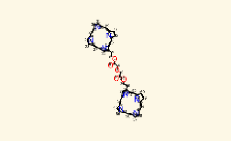 O=C(COCC(=O)OCCC1=CC2=NC1=CC1=NC(=CC3=NC(=CC4=NC(=C2)C=C4)C=C3)C=C1)OCCC1=CC2=NC1=CC1=NC(=CC3=NC(=CC4=NC(=C2)C=C4)C=C3)C=C1